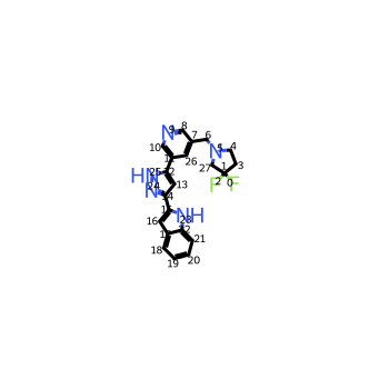 FC1(F)CCN(Cc2cncc(-c3cc(-c4cc5ccccc5[nH]4)n[nH]3)c2)C1